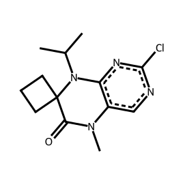 CC(C)N1c2nc(Cl)ncc2N(C)C(=O)C12CCC2